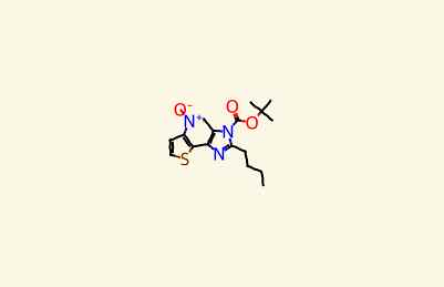 CCCCc1nc2c3sccc3[n+]([O-])cc2n1C(=O)OC(C)(C)C